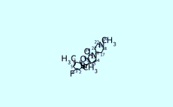 Cc1cc(F)cc(C)c1Oc1c(Br)ccn(C2CCN(C)CC2)c1=O